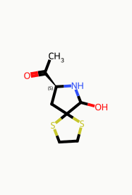 CC(=O)[C@@H]1CC2(SCCS2)C(O)N1